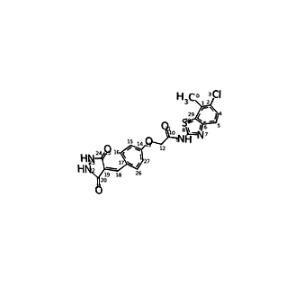 Cc1c(Cl)ccc2nc(NC(=O)COc3ccc(C=C4C(=O)NNC4=O)cc3)sc12